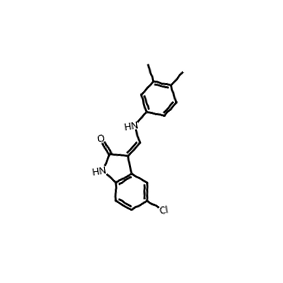 Cc1ccc(NC=C2C(=O)Nc3ccc(Cl)cc32)cc1C